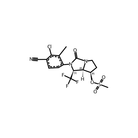 Cc1c(N2C(=O)N3CC[C@@H](OS(C)(=O)=O)[C@H]3[C@H]2C(F)(F)F)ccc(C#N)c1Cl